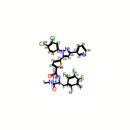 CNC(=O)[C@H](Cc1c(F)c(F)c(F)c(F)c1F)NC(=O)c1ccc(-c2cc(-c3cccnc3)nn2-c2ccc(Cl)c(Cl)c2)s1